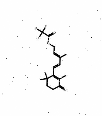 CC(C=CC1=C(C)C(=O)CCC1(C)C)=CCOC(=O)C(F)(F)F